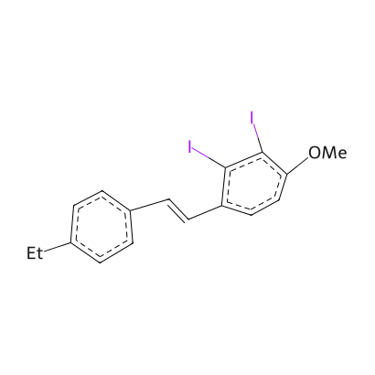 CCc1ccc(C=Cc2ccc(OC)c(I)c2I)cc1